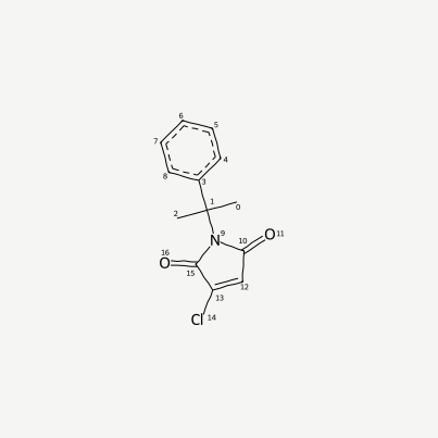 CC(C)(c1ccccc1)N1C(=O)C=C(Cl)C1=O